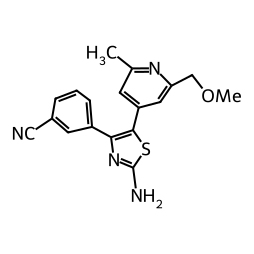 COCc1cc(-c2sc(N)nc2-c2cccc(C#N)c2)cc(C)n1